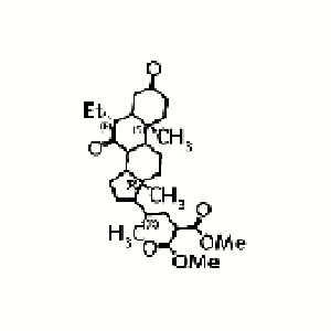 CC[C@H]1C(=O)C2C3CCC([C@H](C)CC(C(=O)OC)C(=O)OC)[C@@]3(C)CCC2[C@@]2(C)CCC(=O)CC12